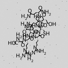 NC(=O)CC[C@H](NC(=O)[C@H](CC(=O)O)NC(=O)[C@H](CC(N)=O)NC(=O)[C@H](CS)NC(=O)[C@H](CCCN=C(N)N)NC(=O)[C@H](CC(N)=O)NC(=O)[C@H](CCCN=C(N)N)NC(=O)[C@@H](N)CO)C(N)=O